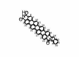 O=C1NC(=O)c2ccc3c4ccc5c6ccc7c8ccc9c%10c(ccc(c%11ccc(c%12ccc(c%13ccc1c2c%133)c4c%125)c6c%117)c8%10)c(=O)n1c2ccccc2cc91